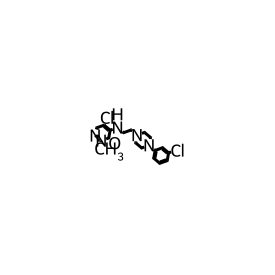 Cn1ncc(Cl)c(NCCN2CCN(c3cccc(Cl)c3)CC2)c1=O